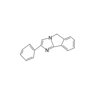 c1ccc(-c2cn3c(n2)-c2ccccc2C3)cc1